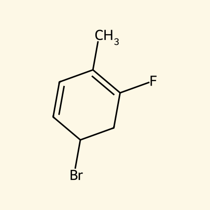 CC1=C(F)CC(Br)C=C1